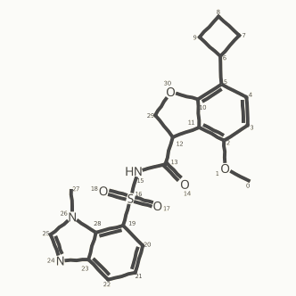 COc1ccc(C2CCC2)c2c1C(C(=O)NS(=O)(=O)c1cccc3ncn(C)c13)CO2